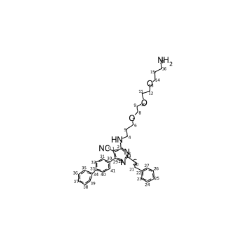 N#Cc1c(NCCCOCCOCCOCCCN)nc(SCc2ccccc2)nc1-c1ccc(-c2ccccc2)cc1